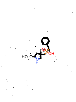 O=C(O)C1CC(CP(=O)(O)Cc2ccccc2)(C(=O)O)CN1